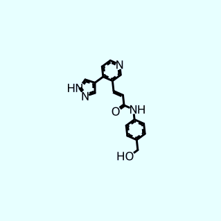 O=C(/C=C/c1cnccc1-c1cn[nH]c1)Nc1ccc(CO)cc1